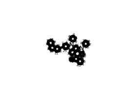 c1ccc(N(c2ccc(-c3ccc4ccc5ccccc5c4c3)cc2)c2cc3c4c5c(cccc25)C2(c5ccccc5-c5ccccc52)c2cccc(c24)n3-c2ccccc2)cc1